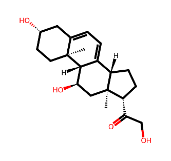 C[C@]12C[C@@H](O)[C@H]3C(=CC=C4C[C@@H](O)CC[C@@]43C)[C@@H]1CC[C@@H]2C(=O)CO